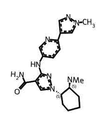 CN[C@H]1CCCC[C@@H]1n1cc(C(N)=O)c(Nc2ccc(-c3cnn(C)c3)nc2)n1